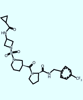 O=C(NC1CN(S(=O)(=O)N2CCC[C@H](C(=O)N3CCC[C@@H]3C(=O)NCc3ccc(C(F)(F)F)cc3)C2)C1)C1CC1